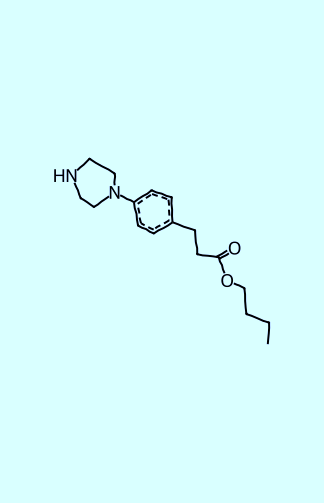 CCCCOC(=O)CCc1ccc(N2CCNCC2)cc1